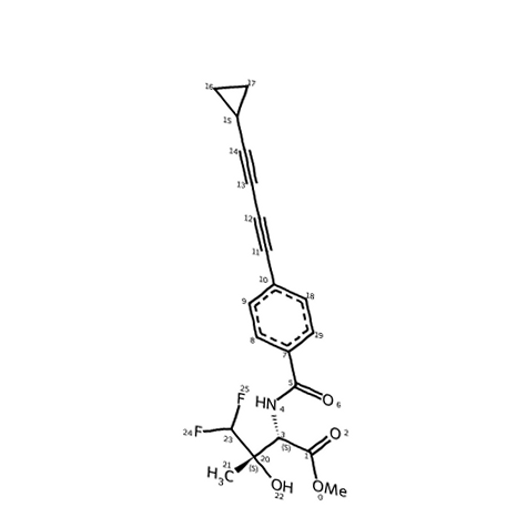 COC(=O)[C@@H](NC(=O)c1ccc(C#CC#CC2CC2)cc1)[C@](C)(O)C(F)F